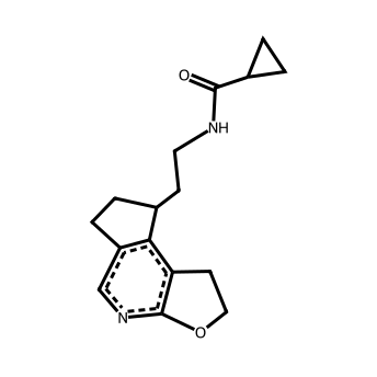 O=C(NCCC1CCc2cnc3c(c21)CCO3)C1CC1